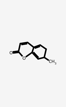 CC1C=c2oc(=O)ccc2=CC1